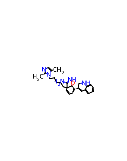 Cc1cnc(C)n1CCCCCC1(C(=N)N)C=CC=C(C2=Cc3ccccc3NC2)C1=O